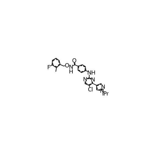 Cc1c(F)cccc1CONC(=O)c1ccc(Nc2ncc(Cl)c(-c3cnn(C(C)C)c3)n2)cc1